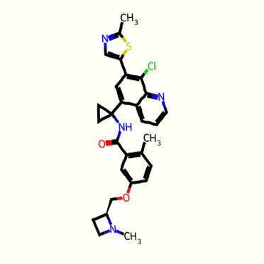 Cc1ncc(-c2cc(C3(NC(=O)c4cc(OC[C@@H]5CCN5C)ccc4C)CC3)c3cccnc3c2Cl)s1